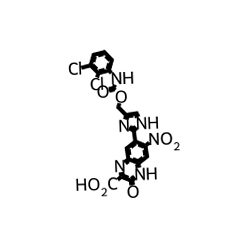 O=C(Nc1cccc(Cl)c1Cl)OCc1c[nH]c(-c2cc3nc(C(=O)O)c(=O)[nH]c3cc2[N+](=O)[O-])n1